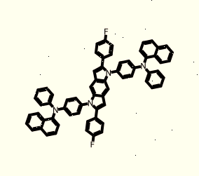 Fc1ccc(-c2cc3cc4c(cc(-c5ccc(F)cc5)n4-c4ccc(N(c5ccccc5)c5cccc6ccccc56)cc4)cc3n2-c2ccc(N(c3ccccc3)c3cccc4ccccc34)cc2)cc1